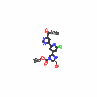 CNC(=O)c1cc(-c2cc([C@@H]3CN(C(=O)OC(C)(C)C)C[C@H](CO)N3)cc(Cl)n2)ncn1